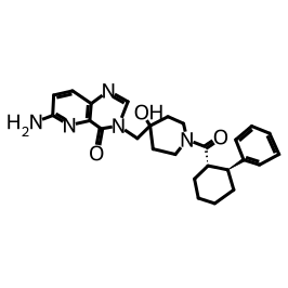 Nc1ccc2ncn(CC3(O)CCN(C(=O)[C@H]4CCCC[C@@H]4c4ccccc4)CC3)c(=O)c2n1